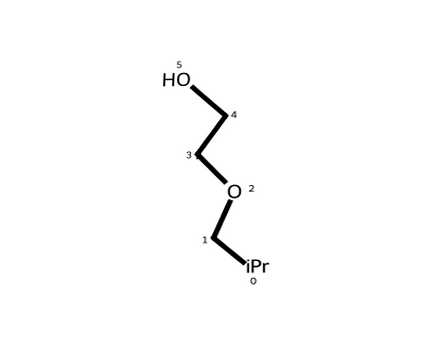 CC(C)CO[CH]CO